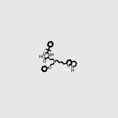 CC(C)(C(=O)N[C@@H](CCN(CCCCc1ccc2c(n1)NCCC2)CCOc1ccccc1)C(=O)O)c1ccccc1